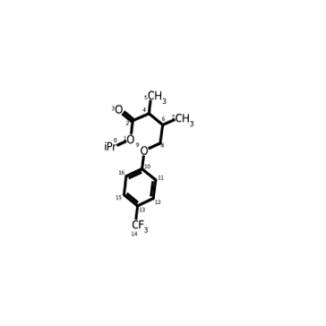 CC(C)OC(=O)C(C)C(C)COc1ccc(C(F)(F)F)cc1